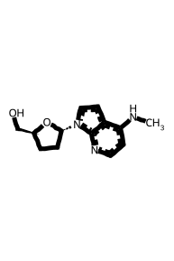 CNc1ccnc2c1ccn2[C@@H]1CC[C@@H](CO)O1